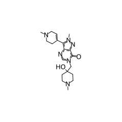 CN1CC=C(c2c3ncn(CC4(O)CCN(C)CC4)c(=O)c3nn2C)CC1